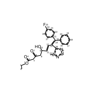 CCOC(=O)CC(=O)CC(O)C=CC(=C(c1ccccc1)c1ccc(F)cc1)c1nnnn1C